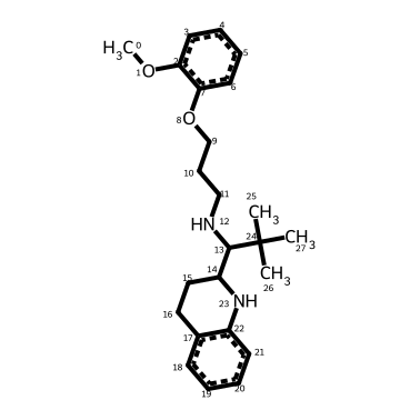 COc1ccccc1OCCCNC(C1CCc2ccccc2N1)C(C)(C)C